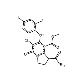 COC(=O)c1c(Nc2ccc(I)cc2F)c(Cl)c(=O)n2c1C(C(N)=O)CC2